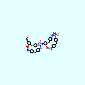 CN1C(=O)N(c2ccc(Cc3ccc(N=C=O)cc3)cc2)/C1=N\c1ccc(Cc2ccc(N3C(=O)N(c4ccc(Cc5ccc(N=C=O)cc5)cc4)/C3=N\c3ccc(Cc4ccc(N=C=O)cc4)cc3)cc2)cc1